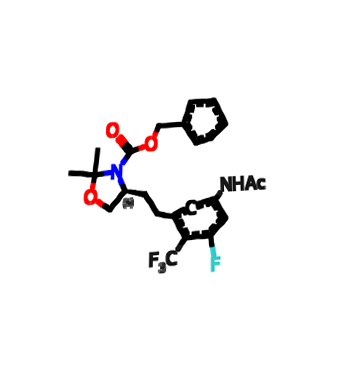 CC(=O)Nc1cc(F)c(C(F)(F)F)c(CC[C@H]2COC(C)(C)N2C(=O)OCc2ccccc2)c1